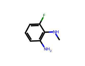 CNc1c(N)cccc1F